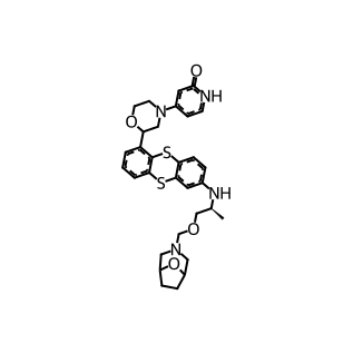 C[C@@H](COCN1CC2CCC(C1)O2)Nc1ccc2c(c1)Sc1cccc(C3CN(c4cc[nH]c(=O)c4)CCO3)c1S2